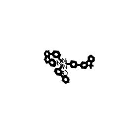 CC1(C)c2ccccc2-c2cc(-c3ccc(-c4nc(-c5cccc(-c6cccc7ccc8ccccc8c67)c5)nc(-c5cccc6c5oc5ccccc56)n4)cc3)ccc21